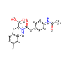 Cc1ccc(CC(NC(=O)Cc2ccc(NC(=O)C(F)(F)F)cc2)B(O)O)c(C)c1